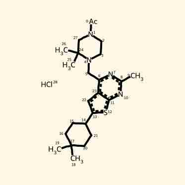 CC(=O)N1CCN(Cc2nc(C)nc3sc(C4CCC(C)(C)CC4)cc23)C(C)(C)C1.Cl